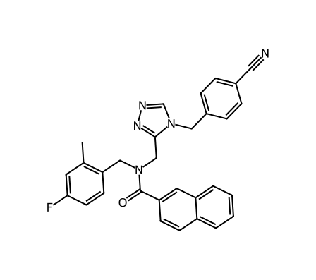 Cc1cc(F)ccc1CN(Cc1nncn1Cc1ccc(C#N)cc1)C(=O)c1ccc2ccccc2c1